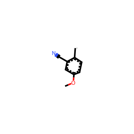 [CH2]c1ccc(OC)cc1C#N